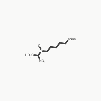 CCCCCCCCCCCCCC[S+]([O-])C(C(=O)O)[N+](=O)[O-]